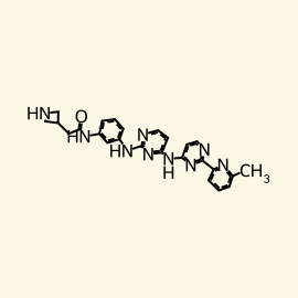 Cc1cccc(-c2nccc(Nc3ccnc(Nc4cccc(NC(=O)CC5CNC5)c4)n3)n2)n1